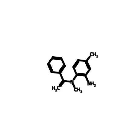 C=C(c1ccccc1)N(C)c1ccc(C)cc1N